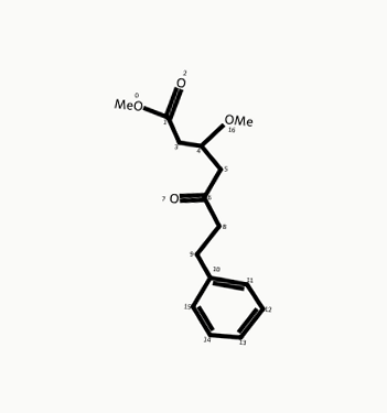 COC(=O)CC(CC(=O)CCc1ccccc1)OC